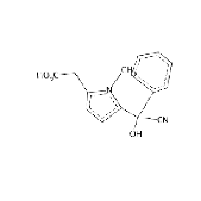 Cn1c(CC(=O)O)ccc1C(O)(C#N)c1ccccc1